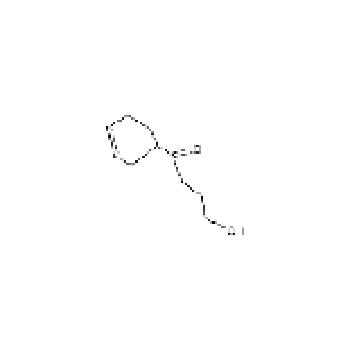 O=C(CCCO)C1CC=CCC1